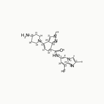 Cc1cn2cc(NC(=O)c3ccc(N4CCC(N)CC4)c4cn(C)nc34)cc(F)c2n1